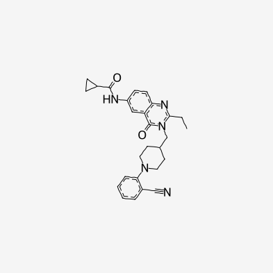 CCc1nc2ccc(NC(=O)C3CC3)cc2c(=O)n1CC1CCN(c2ccccc2C#N)CC1